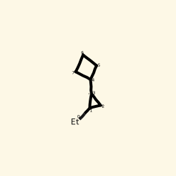 CCC1C[C]1C1CCC1